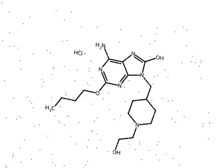 CCCCOc1nc(N)c2nc(O)n(CC3CCN(CCO)CC3)c2n1.Cl